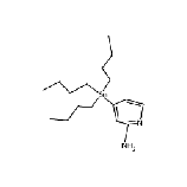 CCC[CH2][Sn]([CH2]CCC)([CH2]CCC)[c]1ccnc(N)c1